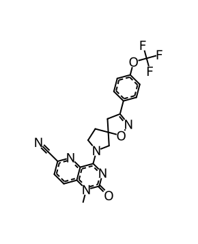 Cn1c(=O)nc(N2CCC3(CC(c4ccc(OC(F)(F)F)cc4)=NO3)C2)c2nc(C#N)ccc21